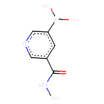 CC(C)(C)NC(=O)c1cncc(B(O)O)c1